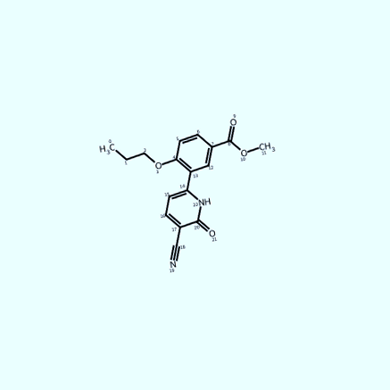 CCCOc1ccc(C(=O)OC)cc1-c1ccc(C#N)c(=O)[nH]1